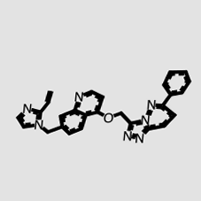 C=Cc1nccn1Cc1ccc2c(OCc3nnc4ccc(-c5ccccc5)nn34)ccnc2c1